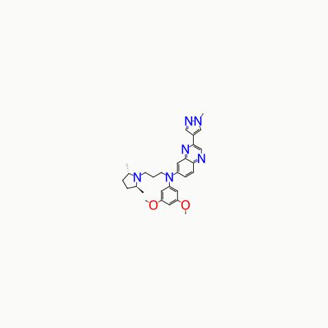 COc1cc(OC)cc(N(CCCN2[C@@H](C)CC[C@@H]2C)c2ccc3ncc(-c4cnn(C)c4)nc3c2)c1